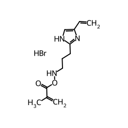 Br.C=Cc1c[nH]c(CCCNOC(=O)C(=C)C)n1